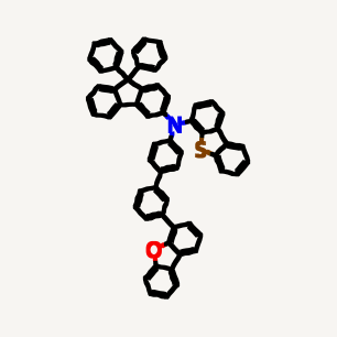 c1ccc(C2(c3ccccc3)c3ccccc3-c3cc(N(c4ccc(-c5cccc(-c6cccc7c6oc6ccccc67)c5)cc4)c4cccc5c4sc4ccccc45)ccc32)cc1